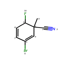 CC1(C#N)C=C(Br)C=CC1F